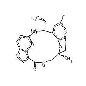 C=C[C@H]1Nc2ccc3ncc(n3n2)C(=O)NC[C@@]2(C)Cc3cc(F)cc1c3O2